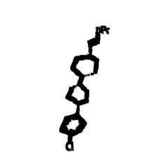 CCCC=C[C@H]1CC[C@H]([C@H]2CC[C@H](c3ccc(Cl)cc3)CC2)CC1